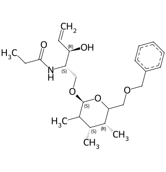 C=C[C@@H](O)[C@H](CO[C@H]1OC(COCc2ccccc2)[C@H](C)[C@H](C)C1C)NC(=O)CC